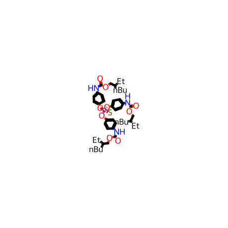 CCCCC(CC)COC(=O)Nc1ccc(OP(=S)(Oc2ccc(NC(=O)OCC(CC)CCCC)cc2)Oc2ccc(NC(=O)OCC(CC)CCCC)cc2)cc1